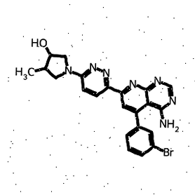 CC1CN(c2ccc(-c3cc(-c4cccc(Br)c4)c4c(N)ncnc4n3)nn2)CC1O